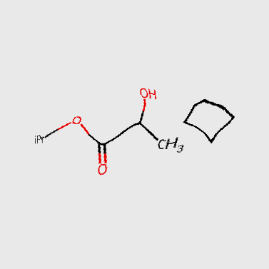 C1CCC1.CC(C)OC(=O)C(C)O